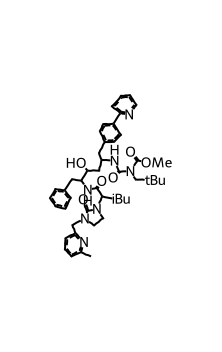 CCC(C)C(C(=O)NC(Cc1ccccc1)C(O)CC(Cc1ccc(-c2ccccn2)cc1)NC(=O)N(CC(C)(C)C)C(=O)OC)N1CCN(Cc2cccc(C)n2)C1=O